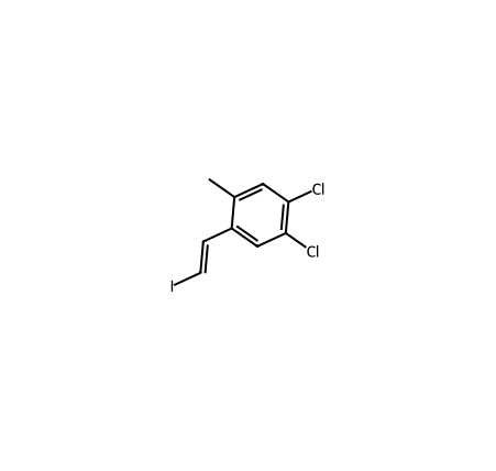 Cc1cc(Cl)c(Cl)cc1/C=C/I